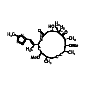 COC1C[C@@H](/C(C)=C/c2csc(C)n2)NC(=O)C[C@H](O)C(C)(C)C(=O)[C@H](C)[C@@H](OC)[C@@H](C)CCCC1C